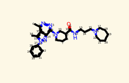 Cc1nnc(N2CCCC(C(=O)NCCCN3CCCCCC3)C2)c2nn(-c3ccccc3)c(C)c12